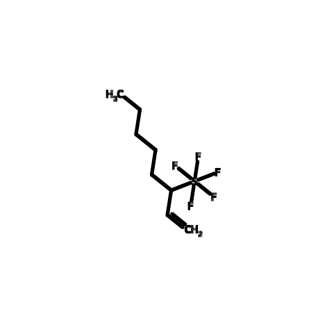 C=CC(CCCCC)S(F)(F)(F)(F)F